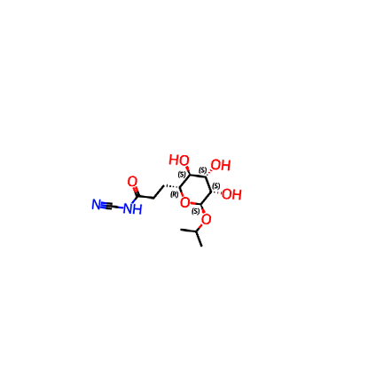 CC(C)O[C@H]1O[C@H](CCC(=O)NC#N)[C@@H](O)[C@H](O)[C@@H]1O